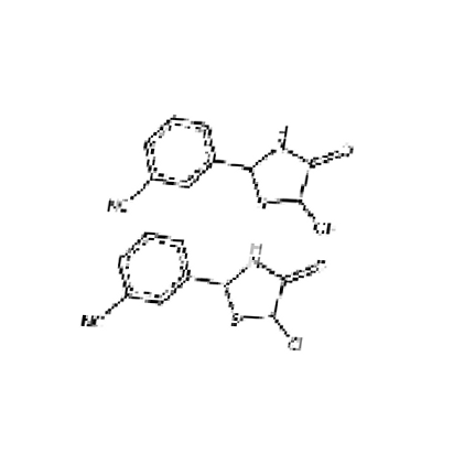 N#Cc1cccc(C2NC(=O)C(Cl)S2)c1.N#Cc1cccc(C2NC(=O)C(O)S2)c1